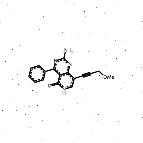 COCC#Cc1c[nH]c(=O)c2c(-c3ccccc3)nc(N)nc12